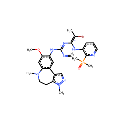 C=N/C(=N\C(Nc1cccnc1P(C)(C)=O)=C(/C)Br)Nc1cc2c(cc1OC)N(C)CCc1c-2cnn1C